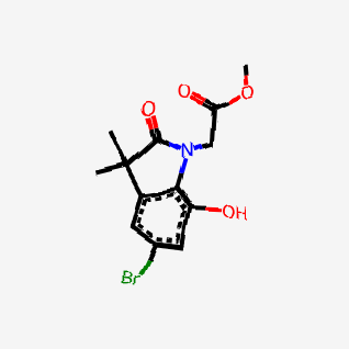 COC(=O)CN1C(=O)C(C)(C)c2cc(Br)cc(O)c21